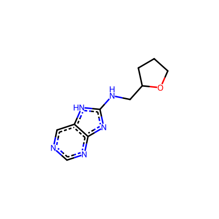 c1ncc2[nH]c(NCC3CCCO3)nc2n1